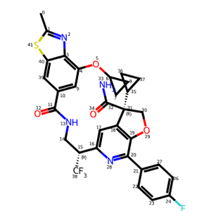 Cc1nc2c(OC3CC3)cc(C(=O)NC[C@H](c3cc4c(c(-c5ccc(F)cc5)n3)OC[C@@]4(C(N)=O)C3CC3)C(F)(F)F)cc2s1